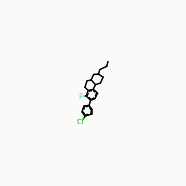 CCCC1CCC2c3ccc(-c4ccc(Cl)cc4)c(F)c3CCC2C1